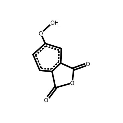 O=C1OC(=O)c2cc(OO)ccc21